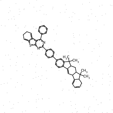 CC1(C)c2cc(-c3ccc(-c4nc(-c5ccccc5)c5c6c(sc5n4)=CCCC=6)cc3)ccc2C2=CC3C4=CC=CCC4C(C)(C)C3CC21